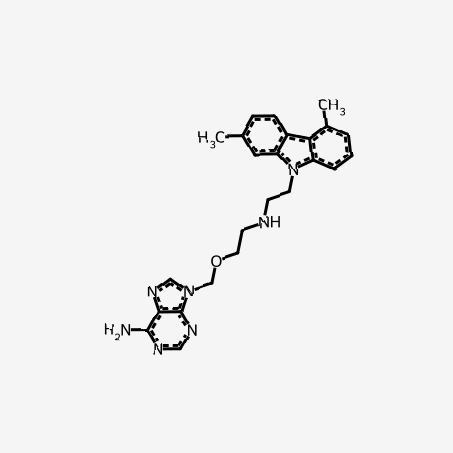 Cc1ccc2c3c(C)cccc3n(CCNCCOCn3cnc4c(N)ncnc43)c2c1